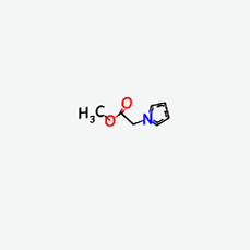 COC(=O)Cn1cccc1